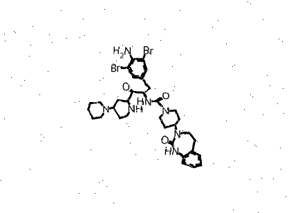 Nc1c(Br)cc(C[C@@H](NC(=O)N2CCC(N3CCc4ccccc4NC3=O)CC2)C(=O)C2CC(N3CCCCC3)CCN2)cc1Br